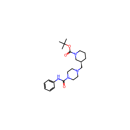 CC(C)(C)OC(=O)N1CCC[C@@H](CN2CCN(C(=O)Nc3ccccc3)CC2)C1